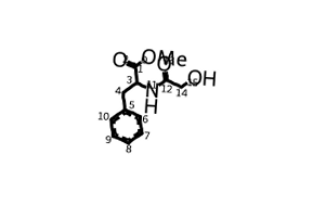 COC(=O)C(Cc1ccccc1)NC(=O)CO